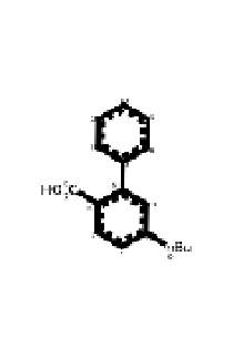 CCCCc1ccc(C(=O)O)c(-c2ccccc2)c1